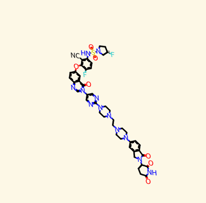 N#Cc1c(NS(=O)(=O)N2CC[C@@H](F)C2)ccc(F)c1Oc1ccc2ncn(-c3cnc(N4CCN(CCN5CCN(c6ccc7c(c6)CN(C6CCC(=O)NC6=O)C7=O)CC5)CC4)nc3)c(=O)c2c1